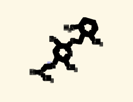 CCN(C)/C=N/c1cc(Br)c(OCc2c(C)cccc2C)nc1C